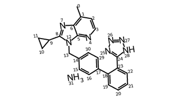 Cc1ccnc2c1nc(C1CC1)n2Cc1ccc(-c2ccccc2-c2nnn[nH]2)cc1.N